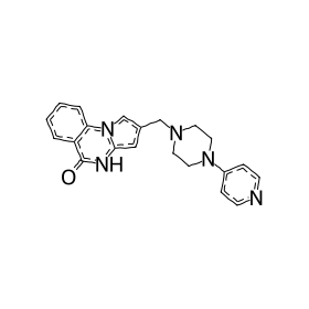 O=c1[nH]c2cc(CN3CCN(c4ccncc4)CC3)cn2c2ccccc12